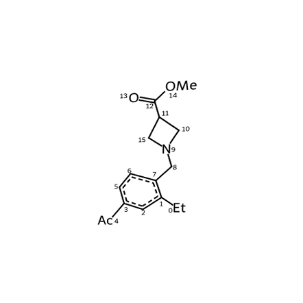 CCc1cc(C(C)=O)ccc1CN1CC(C(=O)OC)C1